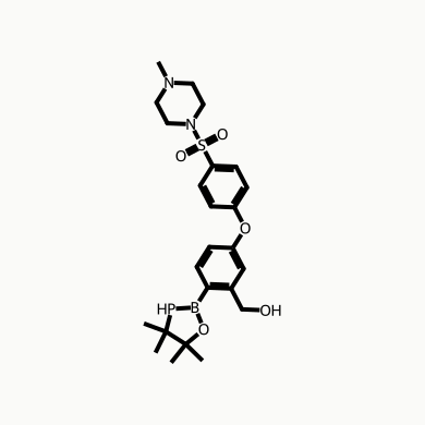 CN1CCN(S(=O)(=O)c2ccc(Oc3ccc(B4OC(C)(C)C(C)(C)P4)c(CO)c3)cc2)CC1